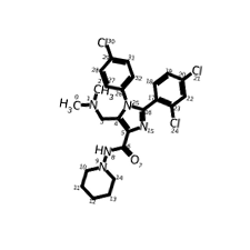 CN(C)Cc1c(C(=O)NN2CCCCC2)nc(-c2ccc(Cl)cc2Cl)n1-c1ccc(Cl)cc1